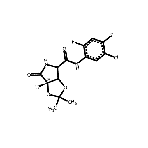 CC1(C)OC2C(C(=O)Nc3cc(Cl)c(F)cc3F)NC(=O)[C@H]2O1